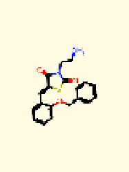 NCCN1C(=O)SC(=Cc2ccccc2OCc2ccccc2)C1=O